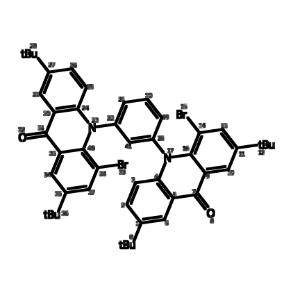 CC(C)(C)c1ccc2c(c1)c(=O)c1cc(C(C)(C)C)cc(Br)c1n2-c1cccc(-n2c3ccc(C(C)(C)C)cc3c(=O)c3cc(C(C)(C)C)cc(Br)c32)c1